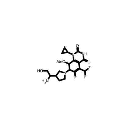 COC1c2c(c(=O)[nH]c(=O)n2C2CC2)C(C(F)F)=C(F)C1N1CCC(C(N)CO)C1